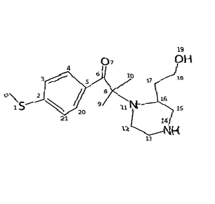 CSc1ccc(C(=O)C(C)(C)N2CCNCC2CCO)cc1